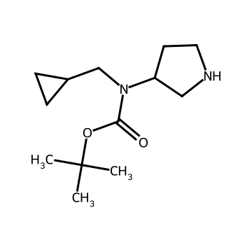 CC(C)(C)OC(=O)N(CC1CC1)C1CCNC1